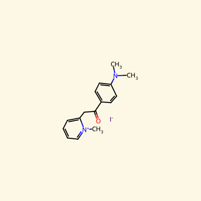 CN(C)c1ccc(C(=O)Cc2cccc[n+]2C)cc1.[I-]